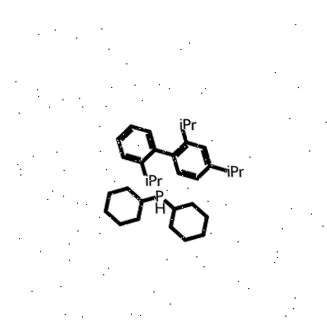 C1CCC(PC2CCCCC2)CC1.CC(C)c1ccc(-c2ccccc2C(C)C)c(C(C)C)c1